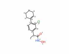 CC(C(=O)NO)c1ccc(C2=CCCCC2)c(Cl)c1